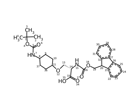 CC(C)(C)OC(=O)NC1CCC(OC[C@H](NC(=O)OCC2c3ccccc3-c3ccccc32)C(=O)O)CC1